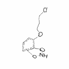 ClCCCOc1cccc2c1ONO2